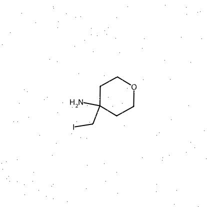 NC1(CI)CCOCC1